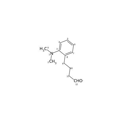 CN(C)c1ccccc1CCC[C]=O